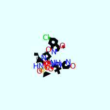 C=C[C@@H]1C[C@@]1(C(=O)NS(=O)(=O)C1CC1)N1C[C@H](Oc2ncc(OC)c3ccc(Cl)cc23)C[C@H]1C(=O)NC(=O)[C@H](Nc1ccc(OC)nc1)C(C)(C)C